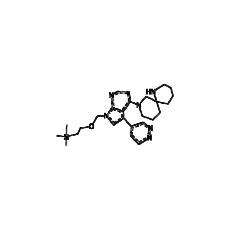 C[Si](C)(C)CCOCn1cc(-c2ccnnc2)c2c(N3CCCC4(CCCCN4)C3)ccnc21